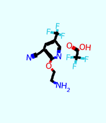 N#Cc1cc(C(F)(F)F)cnc1OCCN.O=C(O)C(F)(F)F